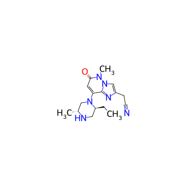 CC[C@H]1CN[C@H](C)CN1c1cc(=O)n(C)n2cc(CC#N)nc12